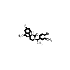 C=C/C=C(\C=C/CBr)[C@H](C)N1CC[C@](CC=C)(c2ccc(F)cc2)NC1=O